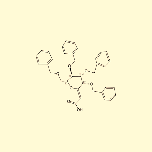 O=C(O)C=C1O[C@H](COCc2ccccc2)[C@@H](OCc2ccccc2)[C@H](OCc2ccccc2)[C@@H]1OCc1ccccc1